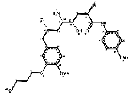 COCCCOc1cc(C[C@@H](C[C@H](N)[C@@H](O)C[C@H](C(=O)Nc2ccc(OC)cc2)C(C)C)C(C)C)ccc1OC